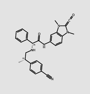 C[C@H](CN[C@@H](C(=O)Nc1ccc2c(c1)N(C)C(=C=O)N2C)c1ccccc1)c1ccc(C#N)cc1